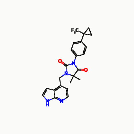 CC1(C)C(=O)N(c2ccc(C3(C(F)(F)F)CC3)cc2)C(=O)N1Cc1ccnc2[nH]ccc12